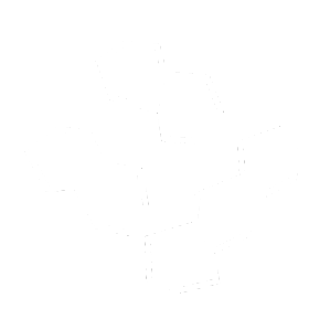 c1cc2cccc3c4cccc5cccc(c(c1)c23)c54.c1ccc2cc3ccccc3cc2c1